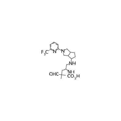 CC(C)(C=O)CC(CNC1CCC2CN(c3cccc(C(F)(F)F)n3)CC21)NC(=O)O